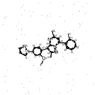 COc1cc(-n2cccn2)ccc1-c1c(C)nn2c(-c3ccccc3C)cc(C)nc12